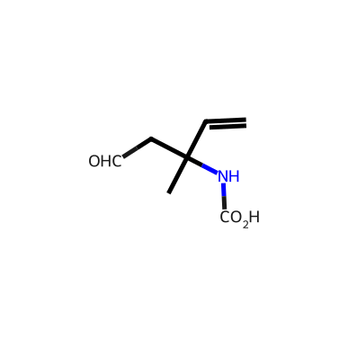 C=CC(C)(CC=O)NC(=O)O